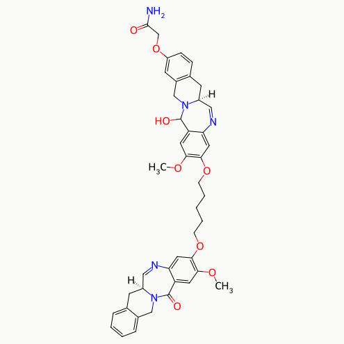 COc1cc2c(cc1OCCCCCOc1cc3c(cc1OC)C(O)N1Cc4cc(OCC(N)=O)ccc4C[C@H]1C=N3)N=C[C@@H]1Cc3ccccc3CN1C2=O